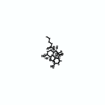 CCCCC(=O)N[C@@]12CC[C@H](O)[C@@H]3Oc4c(O)ccc5c4[C@@]31CCN(C)[C@@H]2C5=O